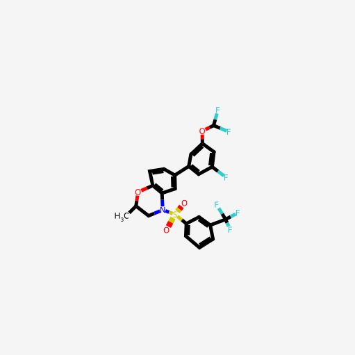 CC1CN(S(=O)(=O)c2cccc(C(F)(F)F)c2)c2cc(-c3cc(F)cc(OC(F)F)c3)ccc2O1